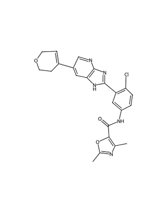 Cc1nc(C)c(C(=O)Nc2ccc(Cl)c(-c3nc4ncc(C5=CCOCC5)cc4[nH]3)c2)o1